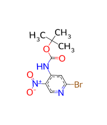 CC(C)(C)OC(=O)Nc1cc(Br)ncc1[N+](=O)[O-]